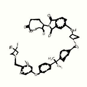 CC(C)(c1ccc(Oc2cnc(CN3CC(F)(F)C3)nc2)cc1)c1ccc(O[C@H]2C[C@H](Nc3ccc4c(c3)C(=O)N(C3CCC(=O)NC3=O)C4=O)C2)cc1